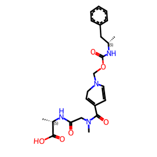 C[C@H](NC(=O)CN(C)C(=O)C1=CCN(COC(=O)N[C@@H](C)Cc2ccccc2)C=C1)C(=O)O